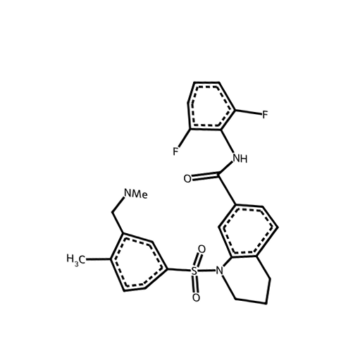 CNCc1cc(S(=O)(=O)N2CCCc3ccc(C(=O)Nc4c(F)cccc4F)cc32)ccc1C